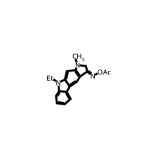 CCn1c2ccccc2c2cc3c(cc21)N(C)C/C3=N\OC(C)=O